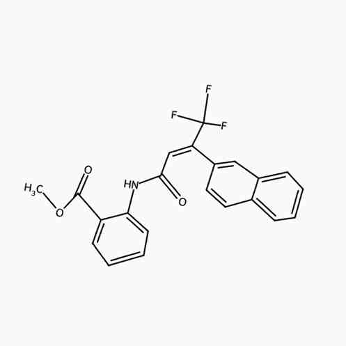 COC(=O)c1ccccc1NC(=O)/C=C(\c1ccc2ccccc2c1)C(F)(F)F